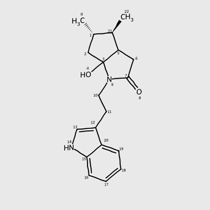 C[C@H]1CC2(O)C(CC(=O)N2CCc2c[nH]c3ccccc23)[C@@H]1C